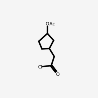 CC(=O)OC1CCC(CC(=O)Cl)C1